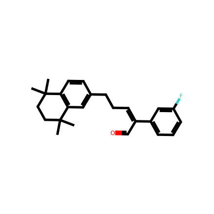 CC1(C)CCC(C)(C)c2cc(CCC=C(C=O)c3cccc(F)c3)ccc21